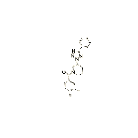 O=C(c1ccc(F)c(F)c1)N1CCCC(n2nnc(-c3ccccc3)n2)C1